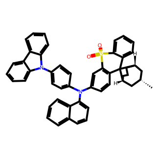 C[C@@H]1C[C@H]2CCC[C@@H](C1)C21c2ccccc2S(=O)(=O)c2cc(N(c3ccc(-n4c5ccccc5c5ccccc54)cc3)c3cccc4ccccc34)ccc21